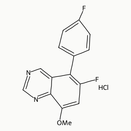 COc1cc(F)c(-c2ccc(F)cc2)c2cncnc12.Cl